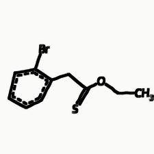 CCOC(=S)Cc1ccccc1Br